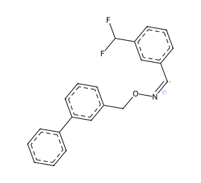 FC(F)c1cccc(/[C]=N\OCc2cccc(-c3ccccc3)c2)c1